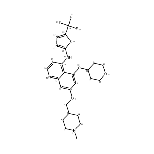 CN1CCC(COc2cc(OC3CCOCC3)c3c(Nc4nnc(C(F)(F)F)s4)ncnc3c2)CC1